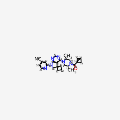 C[C@@H]1CN(c2ncnc3c2C2(CCC2)CN3c2cc(C#N)ccn2)[C@@H](C)CN1C(=O)C12CC(C1)C2